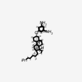 CC(C)CCC[C@@H](C)[C@H]1CC[C@H]2[C@@H]3CC=C4C[C@@H](Oc5cc(N)cc(N)c5)CC[C@]4(C)[C@H]3CC[C@]12C